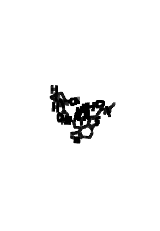 CN(C)C(=O)c1cc2c(s1)CCc1sccc1C2(CCNCC(=O)N1[C@H](C#N)C[C@@H]2C[C@@H]21)c1nn[nH]n1